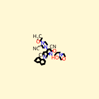 C=CC(=O)N1CCN(c2c(C#N)c(OC(CO)CN3CCOCC3)nc3c2CCN(c2cccc4cccc(C)c24)C3)C[C@@H]1CC#N